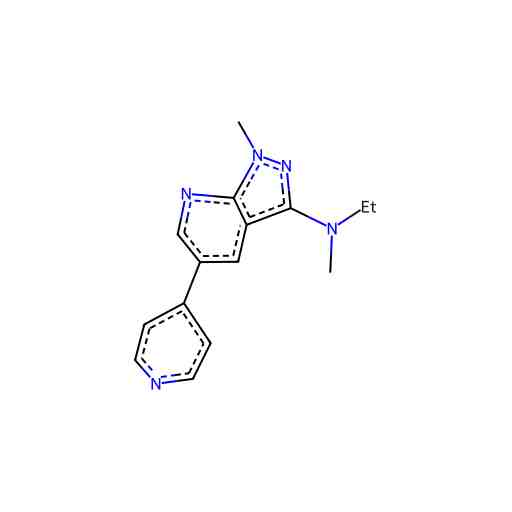 CCN(C)c1nn(C)c2ncc(-c3ccncc3)cc12